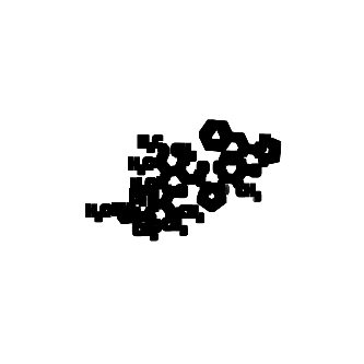 CCC(C)C(C(CC(=O)N1CCC[C@H]1C(OC)C(C)C(=O)NC(Cc1ccccc1)c1nccs1)OC)N(C)C(=O)C(NC(=O)C(C)(C)CNC)C(C)C